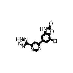 O=c1[nH]c2cc(-c3cc(-c4nn[nH]n4)ncn3)cc(Cl)c2o1